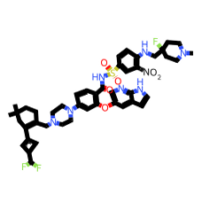 CN1CCC(F)(CNc2ccc(S(=O)(=O)NC(=O)c3ccc(N4CCN(CC5=C(C67CC(C(F)F)(C6)C7)CC(C)(C)CC5)CC4)cc3Oc3cnc4[nH]ccc4c3)cc2[N+](=O)[O-])CC1